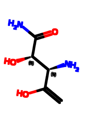 C=C(O)[C@@H](N)[C@H](O)C(N)=O